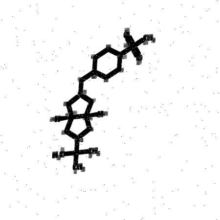 CC(C)(C)N1C[C@H]2CN(CC3CCN(S(C)(=O)=O)CC3)C[C@H]2C1